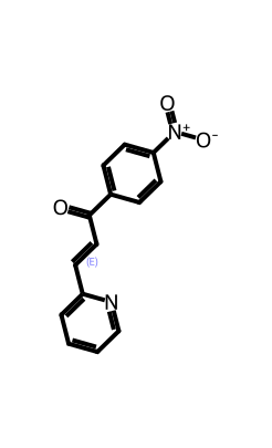 O=C(/C=C/c1ccccn1)c1ccc([N+](=O)[O-])cc1